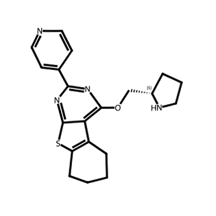 c1cc(-c2nc(OC[C@@H]3CCCN3)c3c4c(sc3n2)CCCC4)ccn1